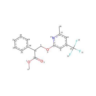 COC(=O)C(COc1cc(C(F)(F)F)cc(C)n1)c1ccccc1